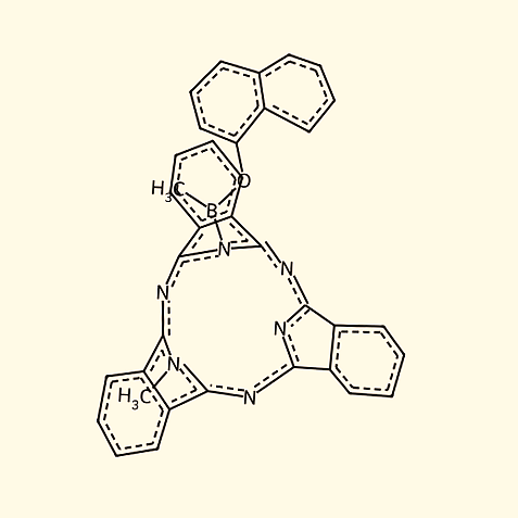 CB(Oc1cccc2ccccc12)n1c2nc3nc(nc4c5ccccc5c(nc1c1ccccc12)n4C)-c1ccccc1-3